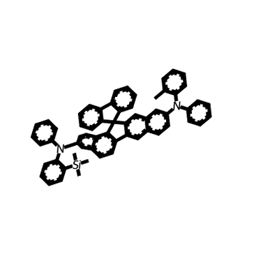 Cc1ccccc1N(c1ccccc1)c1ccc2cc3c(cc2c1)C1(c2ccccc2-c2ccccc21)c1c-3ccc2cc(N(c3ccccc3)c3ccccc3[Si](C)(C)C)ccc12